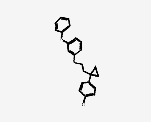 Clc1ccc(C2(CCCc3cccc(Oc4ccccc4)c3)CC2)cc1